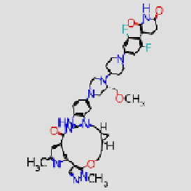 COC[C@@H]1CN(c2ccc3c(c2)N2C[C@H]4C[C@@H]4CCOc4c(cnn4C)-c4cc(cc(C)n4)C(=O)/N=C/2N3)CCN1C1CCN(c2cc(F)c([C@H]3CCC(=O)NC3=O)c(F)c2)CC1